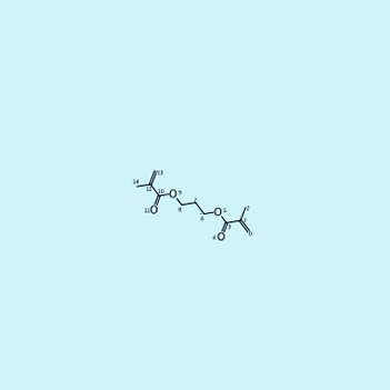 C=C(C)C(=O)O[CH]CCOC(=O)C(=C)C